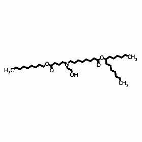 CCCCCCCCCOC(=O)CCCN(CCO)CCCCCCCC(=O)OC(CCCCCC)CCCCCCC